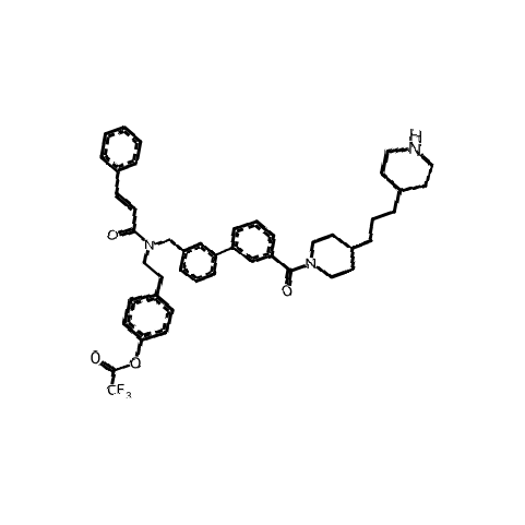 O=C(/C=C/c1ccccc1)N(CCc1ccc(OC(=O)C(F)(F)F)cc1)Cc1cccc(-c2cccc(C(=O)N3CCC(CCCC4CCNCC4)CC3)c2)c1